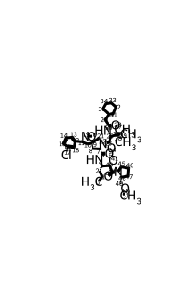 CCC[C@H](NC(=O)[C@@H]1C[C@]2(CC(c3cccc(Cl)c3)=NO2)CN1C(=O)[C@@H](NC(=O)CC1CCCCC1)C(C)(C)C)C(=O)C(=O)N1CCC[C@@H]1COC